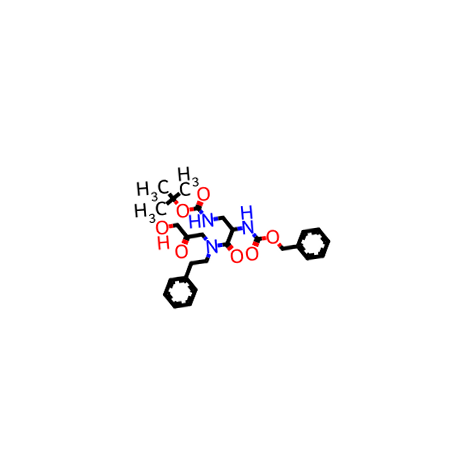 CC(C)(C)OC(=O)NCC(NC(=O)OCc1ccccc1)C(=O)N(CCc1ccccc1)CC(=O)CO